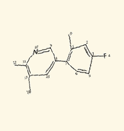 Cc1cc(F)ccc1-c1cnc(C)c(C)c1